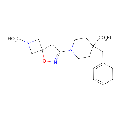 CCOC(=O)C1(Cc2ccccc2)CCN(C2=NOC3(C2)CN(C(=O)O)C3)CC1